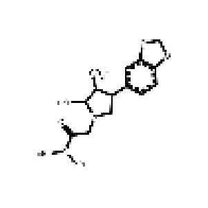 CCCCN(CCCC)C(=O)CN1CC(c2ccc3c(c2)OCO3)C(C(=O)O)C1CCC